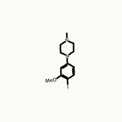 COc1cc(N2CCN(C)CC2)ccc1I